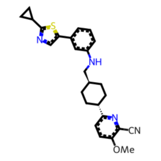 COc1ccc([C@H]2CC[C@H](CNc3cccc(-c4cnc(C5CC5)s4)c3)CC2)nc1C#N